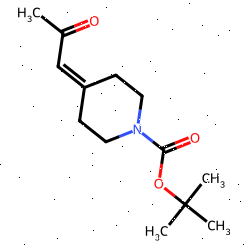 CC(=O)C=C1CCN(C(=O)OC(C)(C)C)CC1